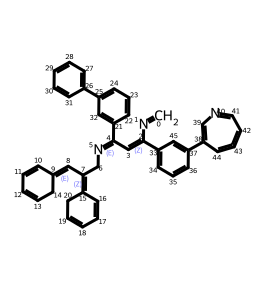 C=N/C(=C\C(=N/CC(/C=C1/C=CC=CC1)=C1\C=CC=CC1)c1cccc(-c2ccccc2)c1)c1cccc(C2=CN=CC=C=C2)c1